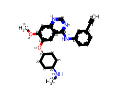 C#Cc1cccc(Nc2ncnc3cc(OC)c(O[C@H]4CC[C@H](NC)CC4)cc23)c1